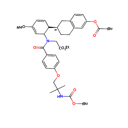 CCOC(=O)CN(C(=O)c1ccc(OCC(C)(C)NC(=O)OC(C)(C)C)cc1)C1C=C(OC)C=CC1[C@@H]1CCc2cc(OC(=O)C(C)(C)C)ccc2C1